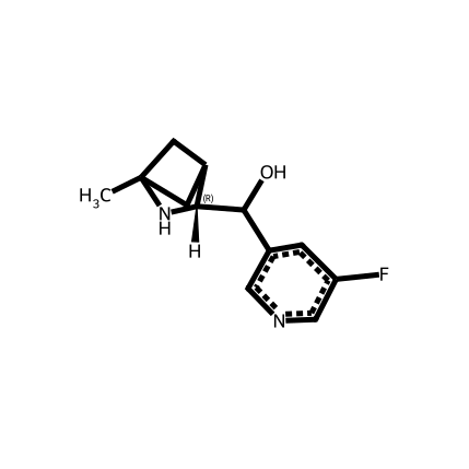 CC12CC(C1)[C@H](C(O)c1cncc(F)c1)N2